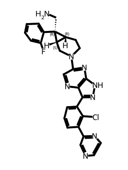 NC[C@]1(c2ccccc2F)[C@@H]2CCN(c3cnc4c(-c5cccc(-c6cnccn6)c5Cl)n[nH]c4n3)C[C@@H]21